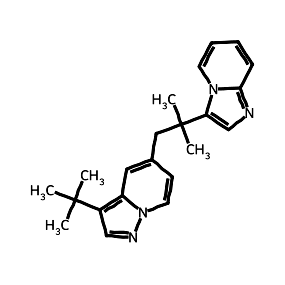 CC(C)(C)c1cnn2ccc(CC(C)(C)c3cnc4ccccn34)cc12